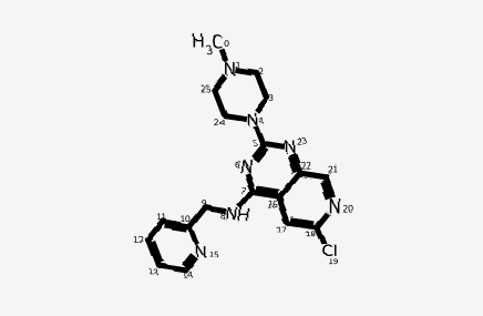 CN1CCN(c2nc(NCc3ccccn3)c3cc(Cl)ncc3n2)CC1